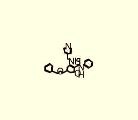 O=C1CC(COCc2ccccc2)CC(NCc2ccncc2)=C1C(=S)Nc1ccccc1